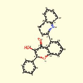 O=c1c(O)c(-c2ccccc2)oc2cccc(-c3ccc4ccccc4n3)c12